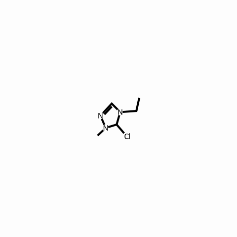 CCN1C=NN(C)C1Cl